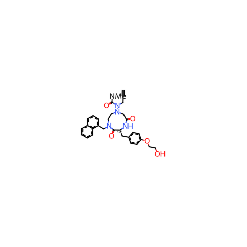 C#CCN(C(=O)NC)N1CCN(Cc2cccc3ccccc23)C(=O)[C@H](Cc2ccc(OCCO)cc2)NC(=O)C1